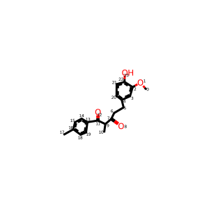 COc1cc(CCC(=O)C(C)C(=O)c2ccc(C)cc2)ccc1O